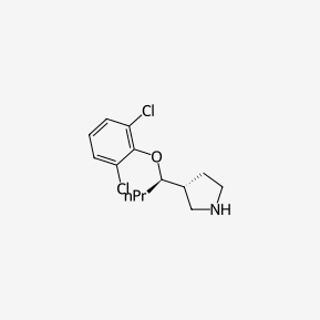 CCC[C@@H](Oc1c(Cl)cccc1Cl)[C@@H]1CCNC1